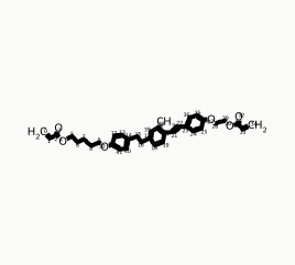 C=CC(=O)OCCCCCOc1ccc(CCc2ccc(C#Cc3ccc(OCCOC(=O)C=C)cc3)c(C)c2)cc1